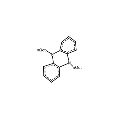 CCCCCCCCN1c2ccccc2N(CCCCCCCC)c2ccccc21